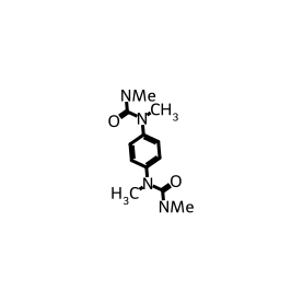 CNC(=O)N(C)c1ccc(N(C)C(=O)NC)cc1